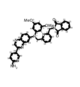 COc1cc(OC)cc(N(Cc2cccc(CN3C(=O)c4ccccc4C3=O)n2)c2ccc3ncc(-c4ccc(N)nc4)nc3c2)c1